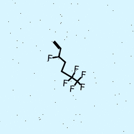 C=CC(F)CCC(F)(F)C(F)(F)F